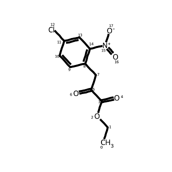 CCOC(=O)C(=O)Cc1ccc(Cl)cc1[N+](=O)[O-]